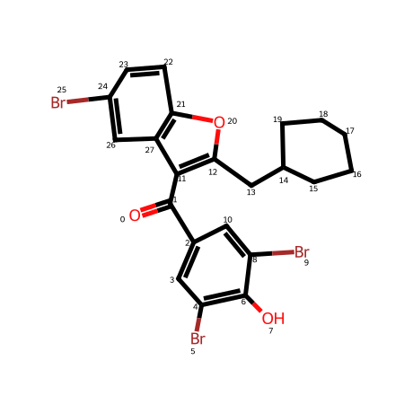 O=C(c1cc(Br)c(O)c(Br)c1)c1c(CC2CCCCC2)oc2ccc(Br)cc12